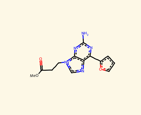 COC(=O)CCn1cnc2c(-c3ccco3)nc(N)nc21